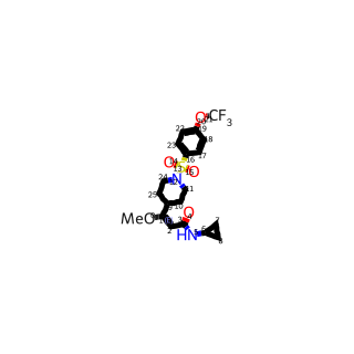 CO/C(=C/C(=O)NC1CC1)C1CCN(S(=O)(=O)c2ccc(OC(F)(F)F)cc2)CC1